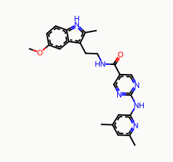 COc1ccc2[nH]c(C)c(CCNC(=O)c3cnc(Nc4cc(C)cc(C)n4)nc3)c2c1